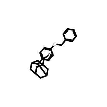 OCC12CC3CC(C1)C(c1ccc(OCc4ccccc4)cc1)C(C3)C2